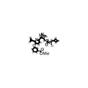 COC(=O)[C@H]1CCC[C@H](Oc2ccc(-c3nnn(C)c3COC(=O)N(C)CC3CCC3)nc2C2CC2)C1